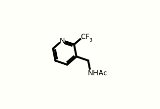 CC(=O)NCc1cccnc1C(F)(F)F